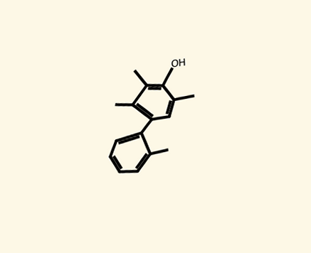 Cc1ccccc1-c1cc(C)c(O)c(C)c1C